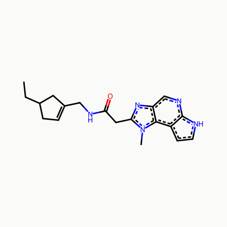 CCC1CC=C(CNC(=O)Cc2nc3cnc4[nH]ccc4c3n2C)C1